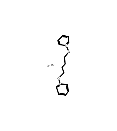 [Br-].[Br-].c1cc[n+](OCCCCO[n+]2ccccc2)cc1